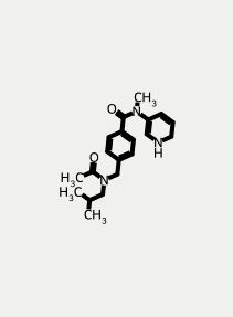 CC(=O)N(Cc1ccc(C(=O)N(C)C2=CNCC=C2)cc1)CC(C)C